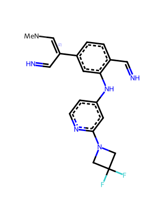 CN/C=C(\C=N)c1ccc(C=N)c(Nc2ccnc(N3CC(F)(F)C3)c2)c1